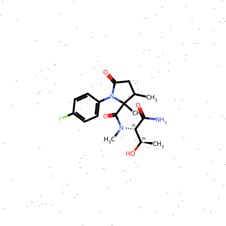 CC1CC(=O)N(c2ccc(F)cc2)C1(C)C(=O)N(C)[C@H](C(N)=O)[C@@H](C)O